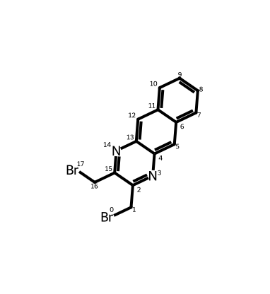 BrCc1nc2cc3ccccc3cc2nc1CBr